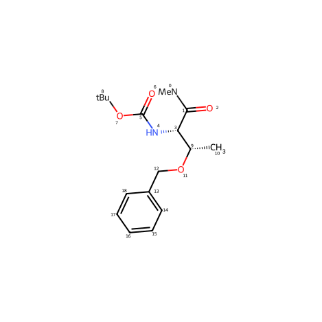 CNC(=O)[C@@H](NC(=O)OC(C)(C)C)[C@H](C)OCc1ccccc1